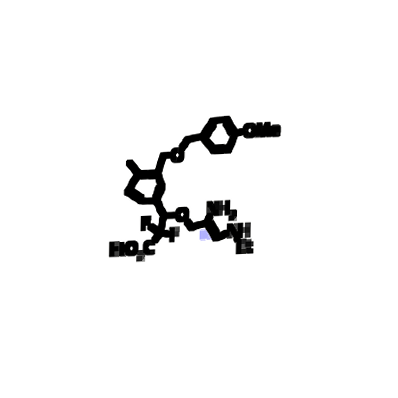 CCN/C=C(\N)COC(c1ccc(C)c(COCc2ccc(OC)cc2)c1)C(F)(F)C(=O)OCC